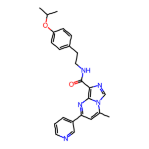 Cc1cc(-c2cccnc2)nc2c(C(=O)NCCc3ccc(OC(C)C)cc3)ncn12